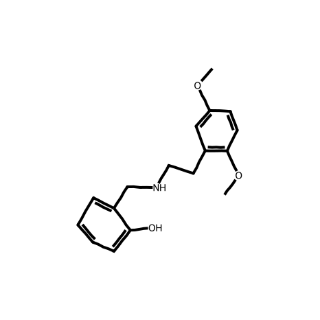 COc1ccc(OC)c(CCNCc2ccccc2O)c1